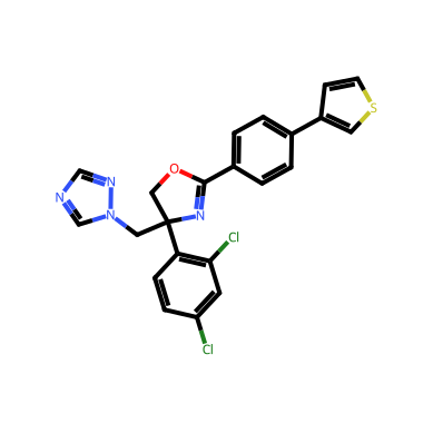 Clc1ccc(C2(Cn3cncn3)COC(c3ccc(-c4ccsc4)cc3)=N2)c(Cl)c1